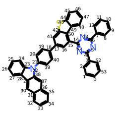 c1ccc(-c2nc(-c3ccccc3)nc(-c3cc(-c4ccc(-n5c6ccccc6c6cc7ccccc7cc65)cc4)cc4sc5ccccc5c34)n2)cc1